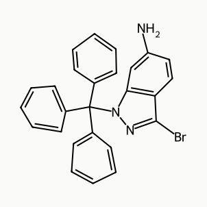 Nc1ccc2c(Br)nn(C(c3ccccc3)(c3ccccc3)c3ccccc3)c2c1